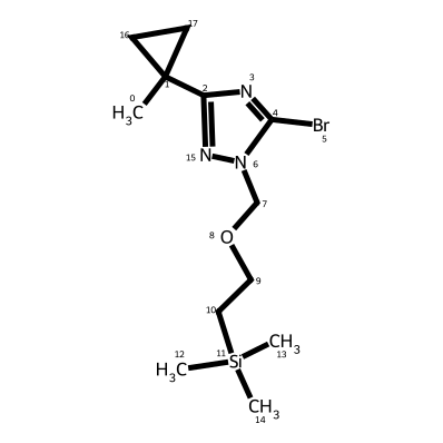 CC1(c2nc(Br)n(COCC[Si](C)(C)C)n2)CC1